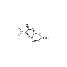 CC(C)C1=CC2C=CC(O)=CC2OC1=O